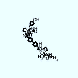 COC(=O)N[C@@H](C)C(=O)N1CCC[C@H]1c1ncc(-c2ccc(-c3ccc(-c4cnc([C@@H]5CCCN5C(=O)[C@H](Cc5ccc(O)cc5)NC(=O)O)[nH]4)cc3)cc2)[nH]1